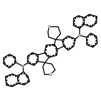 c1ccc(N(c2ccc3c(c2)C2(CCOCC2)c2cc4c(cc2-3)C2(CCOCC2)c2cc(N(c3ccccc3)c3cccc5ccccc35)ccc2-4)c2cccc3ccccc23)cc1